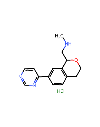 CNCC1OCCc2ccc(-c3ccncn3)cc21.Cl